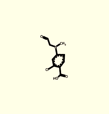 CN(CC=O)c1ccc(C(=O)O)c(Cl)c1